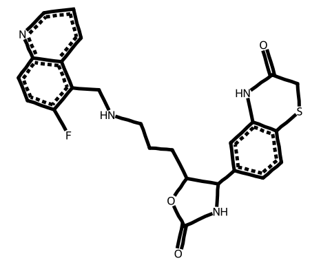 O=C1CSc2ccc(C3NC(=O)OC3CCCNCc3c(F)ccc4ncccc34)cc2N1